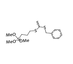 CO[Si](CCCSC(=S)SCc1ccccc1)(OC)OC